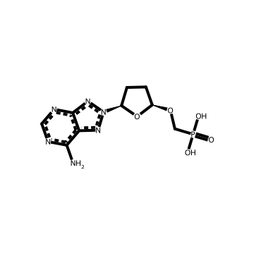 Nc1ncnc2nn([C@H]3CC[C@@H](OCP(=O)(O)O)O3)nc12